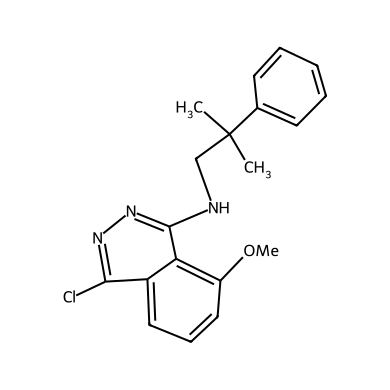 COc1cccc2c(Cl)nnc(NCC(C)(C)c3ccccc3)c12